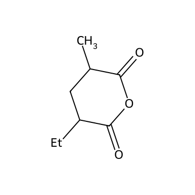 CCC1CC(C)C(=O)OC1=O